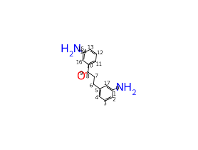 Nc1cccc(CCC(=O)c2cccc(N)c2)c1